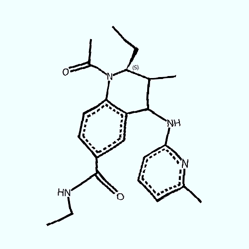 CCNC(=O)c1ccc2c(c1)C(Nc1cccc(C)n1)C(C)[C@H](CC)N2C(C)=O